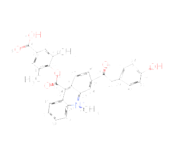 Cc1cc(C(=O)O)cc(C)c1OC(=O)c1c2ccccc2[n+](C)c2cc(C(=O)Cc3ccc(O)cc3)ccc12